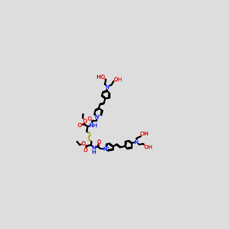 CCOC(=O)C(CSSCC(NC(=O)C[n+]1ccc(/C=C/c2ccc(N(CCO)CCO)cc2)cc1)C(=O)OCC)NC(=O)C[n+]1ccc(/C=C/c2ccc(N(CCO)CCO)cc2)cc1